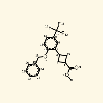 COC(=O)C1CC(c2cc(C(F)(F)F)ccc2OCc2ccccc2)C1